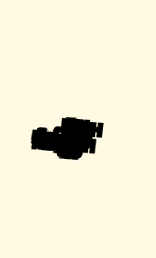 CO[C@@]1(C(=O)Nc2ccc3[nH]nc(-c4ccnc(Cl)c4)c3c2)CCN(CC(=O)N2CC=C(c3nccs3)CC2)C1